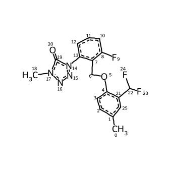 Cc1ccc(OCc2c(F)cccc2-n2nnn(C)c2=O)c(C(F)F)c1